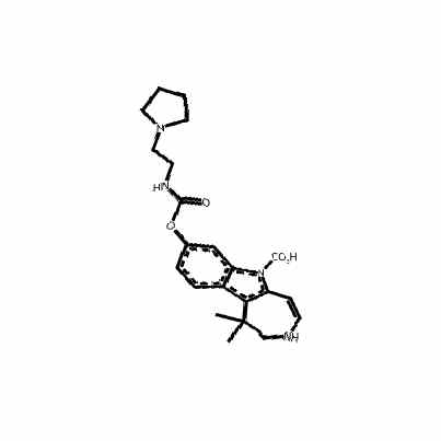 CC1(C)CNC=Cc2c1c1ccc(OC(=O)NCCN3CCCC3)cc1n2C(=O)O